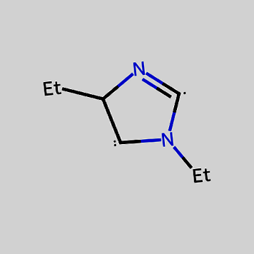 CCC1[C]N(CC)[C]=N1